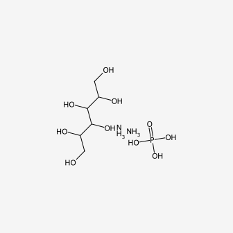 N.N.O=P(O)(O)O.OCC(O)C(O)C(O)C(O)CO